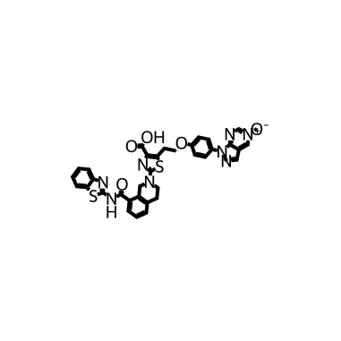 O=C(Nc1nc2ccccc2s1)c1cccc2c1CN(c1nc(C(=O)O)c(CCOc3ccc(-n4ncc5c[n+]([O-])cnc54)cc3)s1)CC2